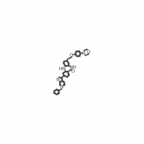 O=C1Nc2cc(CCOc3ccc(N4CCOCC4)cc3)ccc2Nc2cc(-c3cnc4cn(Cc5ccccc5)ccc3-4)ccc21